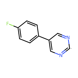 Fc1ccc(-c2cn[c]nc2)cc1